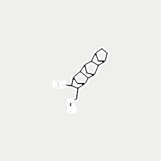 CCOCC1C(O)C2CC1C1C3CC(C4C5CCC(C5)C34)C21